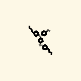 CCCCc1ccc(Nc2ccc(N(c3ccc(Br)cc3)c3ccc(CCCC)cc3)cc2)cc1